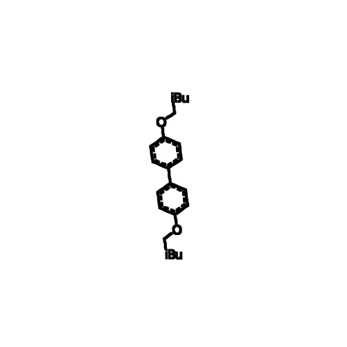 CCC(C)COc1ccc(-c2ccc(OCC(C)CC)cc2)cc1